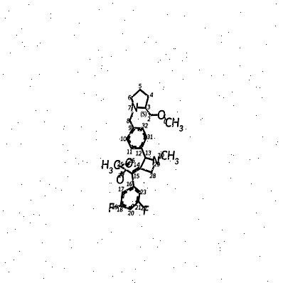 COC[C@@H]1CCCN1Cc1ccc(C2C(=C(c3cc(F)cc(F)c3)S(C)(=O)=O)CN2C)cc1